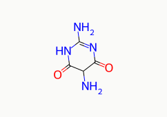 NC1=NC(=O)C(N)C(=O)N1